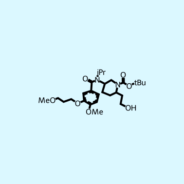 COCCCOc1cc(C(=O)N(C(C)C)C2CCC(CCO)N(C(=O)OC(C)(C)C)C2)ccc1OC